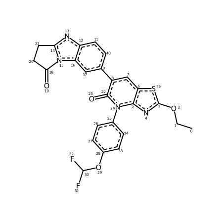 CCOc1nc2c(cc(-c3ccc4nc5n(c4c3)C(=O)CC5)c(=O)n2-c2ccc(OC(F)F)cc2)s1